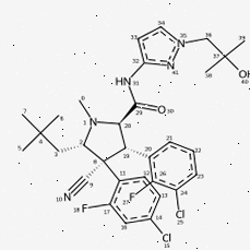 CN1[C@@H](CC(C)(C)C)[C@](C#N)(c2ccc(Cl)cc2F)[C@@H](c2cccc(Cl)c2F)[C@@H]1C(=O)Nc1ccn(CC(C)(C)O)n1